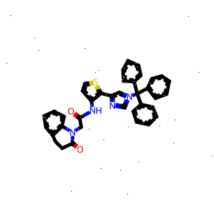 O=C(CN1C(=O)CCc2ccccc21)Nc1ccsc1-c1cn(C(c2ccccc2)(c2ccccc2)c2ccccc2)cn1